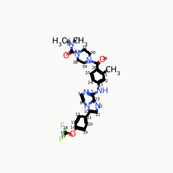 Cc1cc(Nc2nccn3c(-c4ccc(OC(F)F)cc4)cnc23)ccc1C(=O)N1CCN(C(=O)N(C)C)CC1